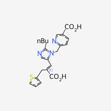 CCCCc1ncc(/C=C(\Cc2cccs2)C(=O)O)n1Cc1ccc(C(=O)O)cn1